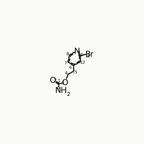 NC(=O)OC[CH]c1ccnc(Br)c1